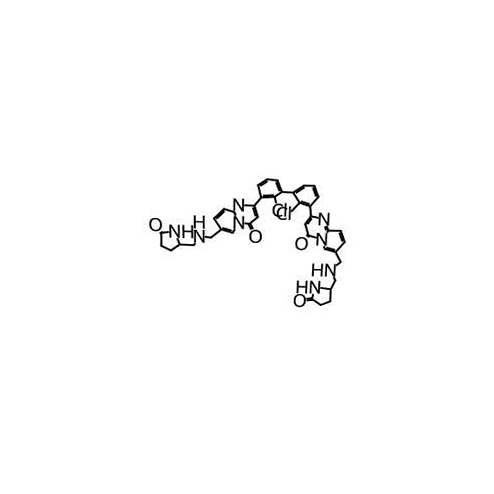 O=C1CCC(CNCc2ccc3nc(-c4cccc(-c5cccc(-c6cc(=O)n7cc(CNCC8CCC(=O)N8)ccc7n6)c5Cl)c4Cl)cc(=O)n3c2)N1